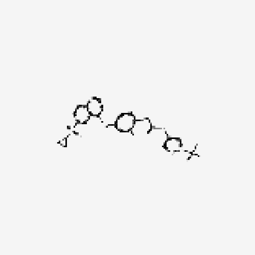 CC(C)(C)n1cc(NC(=O)Cc2ccc(Oc3ccnc4ccc(S(=N)(=O)C5CC5)cc34)cc2F)cn1